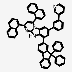 C1=C(c2cccc3ccccc23)N2c3cc(-c4cccc(-c5cccnc5)c4)cc(-c4ccc5c(c4)C(c4ccccc4)(c4ccccc4)c4ccccc4-5)c3NC2N=C1c1cccc2ccccc12